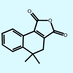 CC1(C)CC2=C(C(=O)OC2=O)c2ccccc21